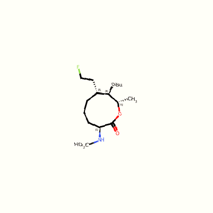 CC(C)CO[C@@H]1[C@@H](CCF)CCC[C@H](NC(=O)O)C(=O)O[C@H]1C